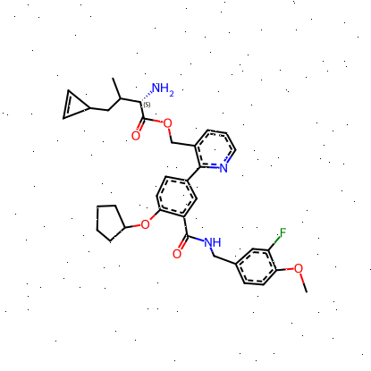 COc1ccc(CNC(=O)c2cc(-c3ncccc3COC(=O)[C@@H](N)C(C)CC3C=C3)ccc2OC2CCCC2)cc1F